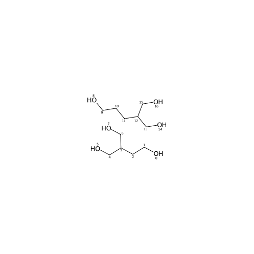 OCCC(CO)CO.OCCCC(CO)CO